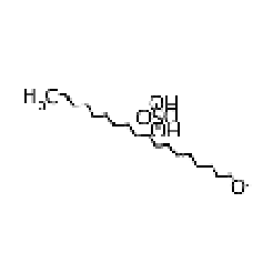 CCCCCCCCCCCCCCCCCC[O].O=S(=O)(O)O